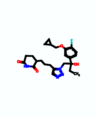 CCC(O)(Cn1nncc1CCCC1CCC(=O)NC1=O)c1ccc(F)c(OCC2CC2)c1